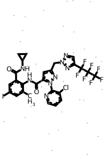 Cc1cc(I)cc(C(=O)NC2CC2)c1NC(=O)c1cc(Cn2ncc(C(F)(F)C(F)(F)C(F)(F)F)n2)nn1-c1ncccc1Cl